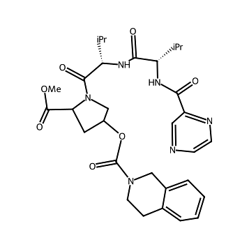 COC(=O)C1CC(OC(=O)N2CCc3ccccc3C2)CN1C(=O)[C@@H](NC(=O)[C@@H](NC(=O)c1cnccn1)C(C)C)C(C)C